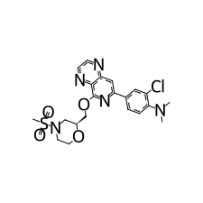 CN(C)c1ccc(-c2cc3nccnc3c(OC[C@@H]3CN(S(C)(=O)=O)CCO3)n2)cc1Cl